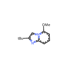 COc1cccc2nc(C(C)(C)C)cn12